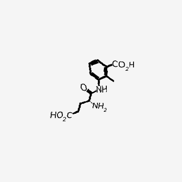 Cc1c(NC(=O)[C@H](N)CCC(=O)O)cccc1C(=O)O